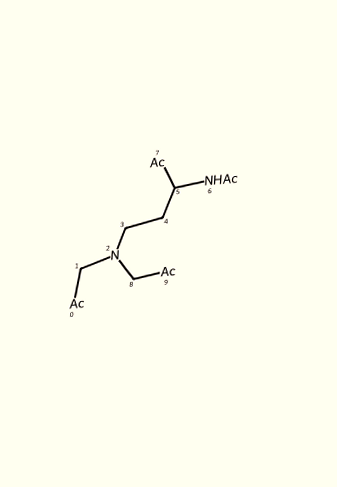 CC(=O)CN(CCC(NC(C)=O)C(C)=O)CC(C)=O